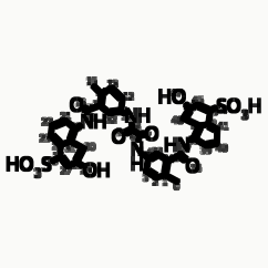 Cc1ccc(NC(=O)C(=O)Nc2ccc(C)c(C(=O)Nc3cccc4c(S(=O)(=O)O)cc(O)cc34)c2)cc1C(=O)Nc1cccc2c(S(=O)(=O)O)cc(O)cc12